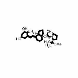 C=C1/C(=C\C=C2/CCC[C@]3(C)[C@@H](C(C)CN4CCC[C@H]4C(C)(C)OC)CC[C@@H]23)C[C@@H](O)C[C@@H]1O